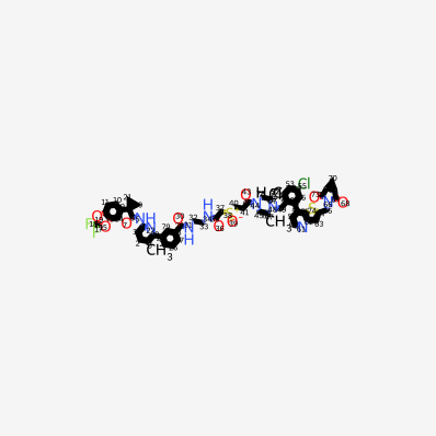 Cc1ccc(NC(=O)C2(c3ccc4c(c3)OC(F)(F)O4)CC2)nc1-c1cccc(C(=O)NCCNC(=O)C[S+]([O-])CCC(=O)N2C[C@H](C)N(Cc3c(C)cc(Cl)cc3-c3ccnc4cc(CN5C(=O)C6CC6C5=O)sc34)[C@@H](C)C2)c1